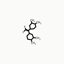 CC1CCC(C(=C(F)F)C2CCC(C)C(C)C2)CC1C